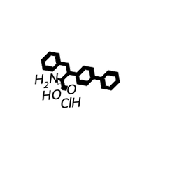 Cl.N[C@H](C(=O)O)C(Cc1ccccc1)c1ccc(-c2ccccc2)cc1